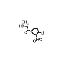 CBCC(=O)c1ccc(Cl)c([N+](=O)[O-])c1